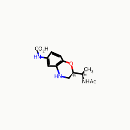 CC(=O)N[C@H](C)[C@H]1CNc2cc(NC(=O)O)ccc2O1